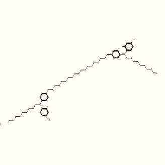 CCCCCCCCCCC(c1ccc(CCCCCCCCCCCCCCCCCCCc2ccc(C(CCCCCCCCCC)c3ccc(N)cc3C)cc2)cc1)c1ccc(N)cc1C